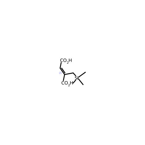 C[Si](C)(C)C/C(=C\C(=O)O)C(=O)O